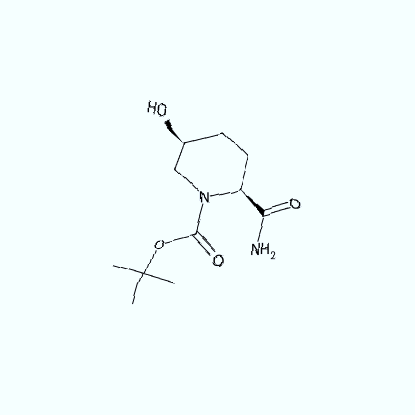 CC(C)(C)OC(=O)N1C[C@@H](O)CC[C@H]1C(N)=O